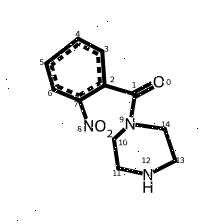 O=C(c1ccccc1[N+](=O)[O-])N1CCNCC1